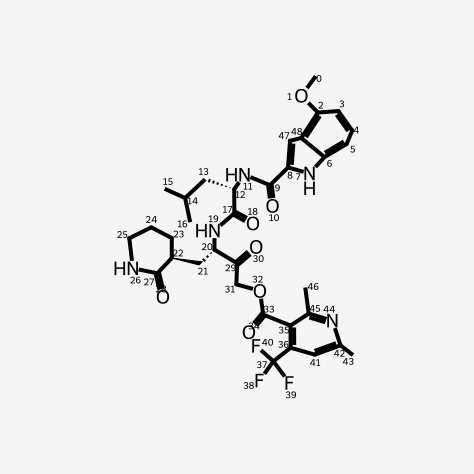 COc1cccc2[nH]c(C(=O)N[C@@H](CC(C)C)C(=O)N[C@@H](C[C@@H]3CCCNC3=O)C(=O)COC(=O)c3c(C(F)(F)F)cc(C)nc3C)cc12